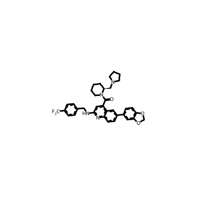 O=C(c1cc(NCc2ccc(C(F)(F)F)cc2)nc2ccc(-c3ccc4c(c3)OCO4)cc12)N1CCCC[C@H]1CN1CCCC1